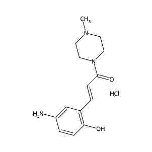 CN1CCN(C(=O)C=Cc2cc(N)ccc2O)CC1.Cl